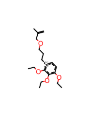 C=C(C)COCCC[si]1ccc(OCC)c(OCC)c1OCC